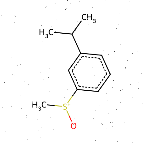 CC(C)c1cccc([S+](C)[O-])c1